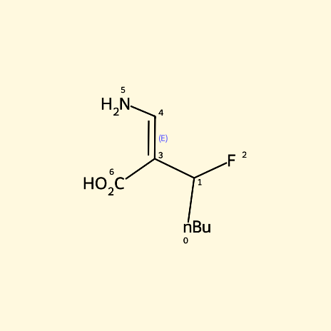 CCCCC(F)/C(=C/N)C(=O)O